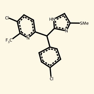 CSc1c[nH]c(C(c2ccc(Cl)cc2)c2ccc(Cl)c(C(F)(F)F)n2)n1